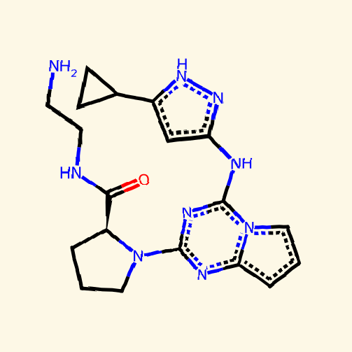 NCCNC(=O)[C@@H]1CCCN1c1nc(Nc2cc(C3CC3)[nH]n2)n2cccc2n1